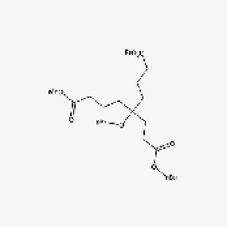 CCCCOC(=O)CCC(CCCC(=O)OC)(CCCC(=O)OCC)OCCC